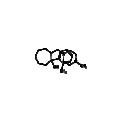 Cc1ccccc1C1(O)CCCCCC1CN1CCN(C)CC1